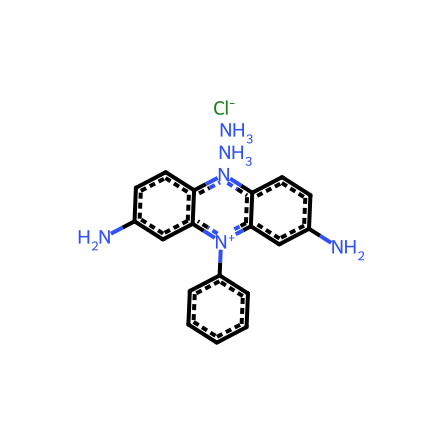 N.N.Nc1ccc2nc3ccc(N)cc3[n+](-c3ccccc3)c2c1.[Cl-]